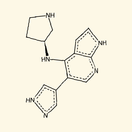 c1cc2c(N[C@H]3CCNC3)c(-c3cn[nH]c3)cnc2[nH]1